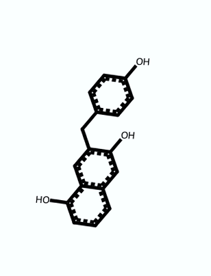 Oc1ccc(Cc2cc3c(O)cccc3cc2O)cc1